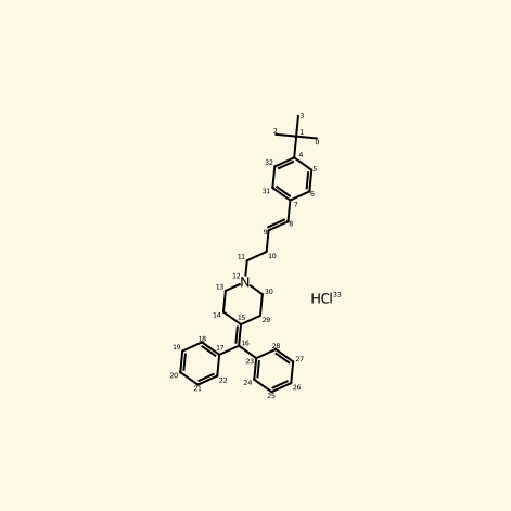 CC(C)(C)c1ccc(C=CCCN2CCC(=C(c3ccccc3)c3ccccc3)CC2)cc1.Cl